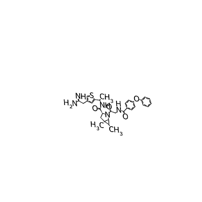 C[C@@H]1C2N(C(=O)CNC(=O)c3ccc(Oc4ccccc4)cc3)[C@H](C(=O)N[C@H](C)c3cc(CC(=N)N)cs3)C[C@@]21C